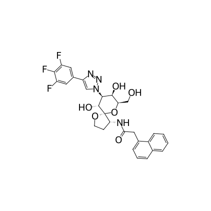 O=C(Cc1cccc2ccccc12)N[C@@H]1CCO[C@]12O[C@H](CO)[C@H](O)[C@H](n1cc(-c3cc(F)c(F)c(F)c3)nn1)[C@H]2O